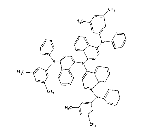 Cc1cc(C)cc(N(C2=CCCC=C2)c2ccc(N(c3ccc(N(c4ccccc4)c4cc(C)cc(C)c4)c4ccccc34)c3ccc(N(c4ccccc4)c4cc(C)cc(C)c4)c4ccccc34)c3ccccc23)c1